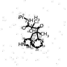 CC(C)NC(=O)C(C)(C)C(=O)C(C)(Cc1cn[nH]c1)c1ncccn1